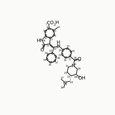 Cc1cc2c(cc1C(=O)O)NC(=O)C2=C(Nc1ccc(C(=O)N2CC[C@@H](CN(C)C)[C@H](O)C2)cc1)c1ccccc1